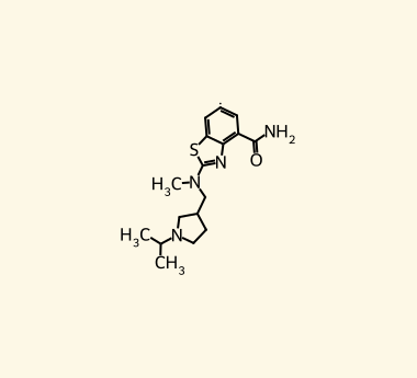 CC(C)N1CCC(CN(C)c2nc3c(C(N)=O)c[c]cc3s2)C1